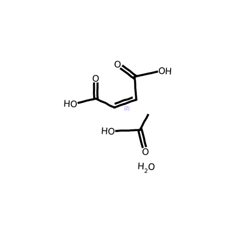 CC(=O)O.O.O=C(O)/C=C\C(=O)O